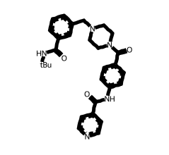 CC(C)(C)NC(=O)c1cccc(CN2CCN(C(=O)c3ccc(NC(=O)c4ccncc4)cc3)CC2)c1